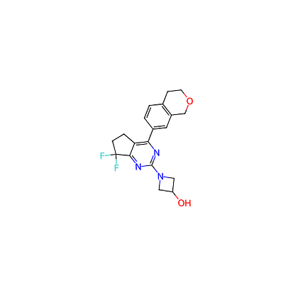 OC1CN(c2nc(-c3ccc4c(c3)COCC4)c3c(n2)C(F)(F)CC3)C1